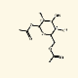 CC(=O)OCC1OC(OC(C)=O)[C@@H](C)C(O)[C@H]1O